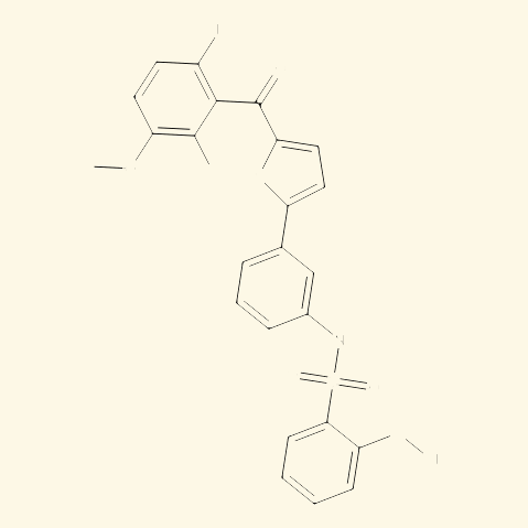 CCOc1ccc(F)c(C(=O)c2ccc(-c3cccc(NS(=O)(=O)c4ccccc4OC(F)(F)F)c3)s2)c1F